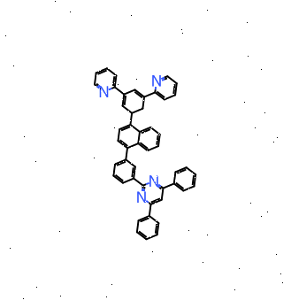 C1=C(c2ccccn2)C=C(c2ccccn2)CC1c1ccc(-c2cccc(-c3nc(-c4ccccc4)cc(-c4ccccc4)n3)c2)c2ccccc12